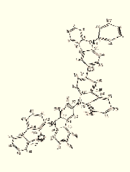 c1ccc(-n2c3ccccc3c3cc(-c4ccc5c(c4)c4ccccc4n5-c4ccc5c(c4)c4ccccc4n5-c4cccc5c4oc4ccccc45)ccc32)cc1